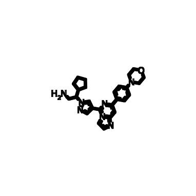 NCC(C1CCCC1)n1cc(-c2nc(-c3ccc(N4CCOCC4)cc3)cc3nccn23)cn1